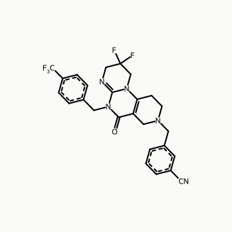 N#Cc1cccc(CN2CCC3=C(C2)C(=O)N(Cc2ccc(C(F)(F)F)cc2)C2=NCC(F)(F)CN23)c1